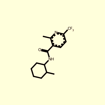 Cc1nc(C(F)(F)F)ccc1C(=O)NC1CCCCC1C